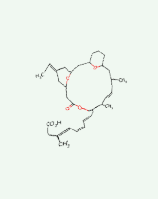 C/C=C1\CC2CC(=O)OC(/C=C/C=C\C=C(/C)CC(=O)O)C(C)/C=C/C(C)CC3CCCC(CC(C1)O2)O3